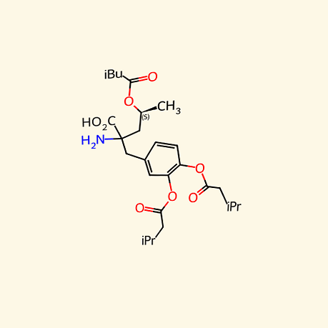 CCC(C)C(=O)O[C@@H](C)CC(N)(Cc1ccc(OC(=O)CC(C)C)c(OC(=O)CC(C)C)c1)C(=O)O